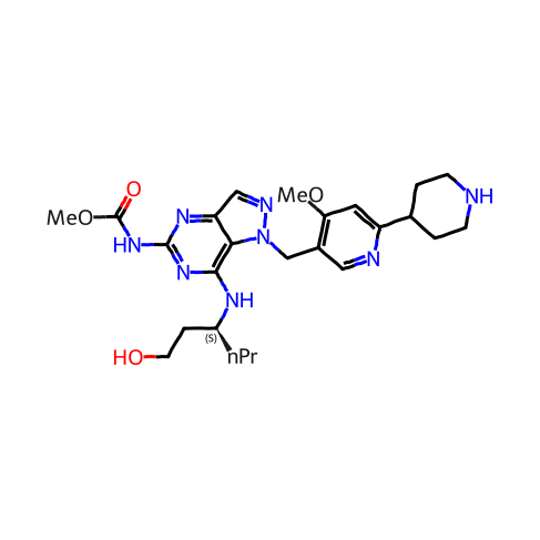 CCC[C@@H](CCO)Nc1nc(NC(=O)OC)nc2cnn(Cc3cnc(C4CCNCC4)cc3OC)c12